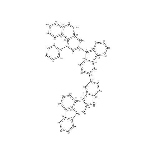 c1ccc(-c2nc(-n3c4ccccc4c4cc(-c5ccc6oc7cc8c9c(cccc9c7c6c5)-c5ccccc5-8)ccc43)nc3ccc4ccccc4c23)cc1